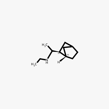 CCNC(C)[C@H]1CC2CC[C@H]1C2